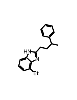 CCc1cccc2[nH]c(CCC(C)c3ccccc3)nc12